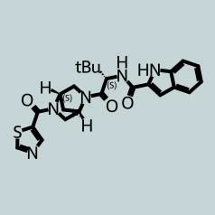 CC(C)(C)[C@H](NC(=O)c1cc2ccccc2[nH]1)C(=O)N1C[C@@H]2C[C@H]1CN2C(=O)c1cncs1